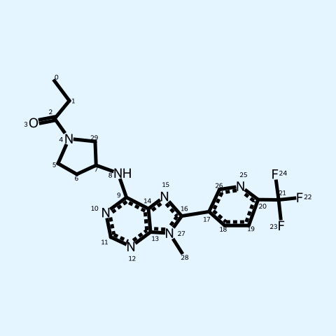 CCC(=O)N1CCC(Nc2ncnc3c2nc(-c2ccc(C(F)(F)F)nc2)n3C)C1